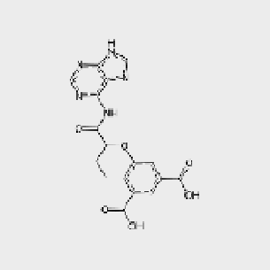 CCC(Oc1cc(C(=O)O)cc(C(=O)O)c1)C(=O)Nc1ncnc2[nH]cnc12